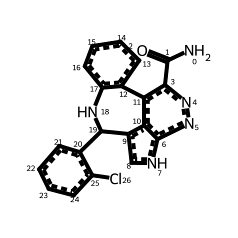 NC(=O)c1nnc2[nH]cc3c2c1-c1ccccc1NC3c1ccccc1Cl